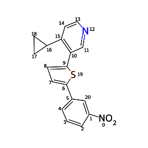 O=[N+]([O-])c1cccc(-c2ccc(-c3cnccc3C3CC3)s2)c1